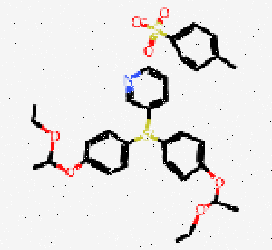 CCOC(C)Oc1ccc([S+](c2ccc(OC(C)OCC)cc2)c2cccnc2)cc1.Cc1ccc(S(=O)(=O)[O-])cc1